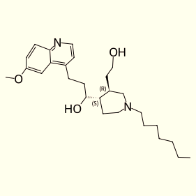 CCCCCCCN1CC[C@H](C(O)CCc2ccnc3ccc(OC)cc23)[C@@H](CCO)C1